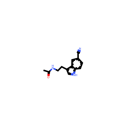 CC(=O)NCCc1c[nH]c2ccc(C#N)cc12